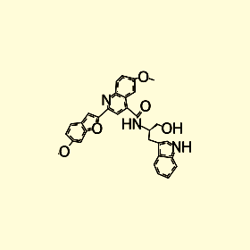 COc1ccc2cc(-c3cc(C(=O)N[C@@H](CO)Cc4c[nH]c5ccccc45)c4cc(OC)ccc4n3)oc2c1